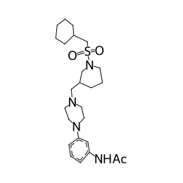 CC(=O)Nc1cccc(N2CCN(CC3CCCN(S(=O)(=O)CC4CCCCC4)C3)CC2)c1